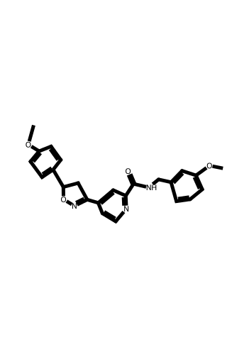 COc1ccc(C2CC(c3ccnc(C(=O)NCc4cccc(OC)c4)c3)=NO2)cc1